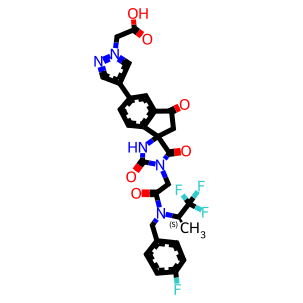 C[C@H](N(Cc1ccc(F)cc1)C(=O)CN1C(=O)NC2(CC(=O)c3cc(-c4cnn(CC(=O)O)c4)ccc32)C1=O)C(F)(F)F